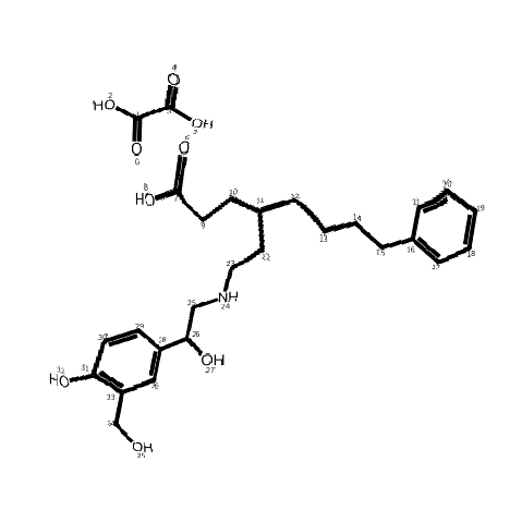 O=C(O)C(=O)O.O=C(O)CCC(CCCCc1ccccc1)CCNCC(O)c1ccc(O)c(CO)c1